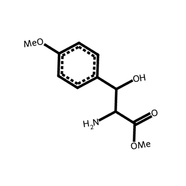 COC(=O)C(N)C(O)c1ccc(OC)cc1